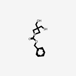 O=C(OCc1ccccc1)N1CC(CO)(CS)C1